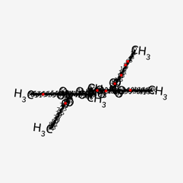 CCCCCCCCCCCCCCCCCOC(=O)CCN(CCCCC(=O)OCCN1CC(C)N(CCOC(=O)CCCCN(CCC(=O)OCCCCCCCCCCCCCC)CCC(=O)OCCCCCCCCCCCCCC)CC1C)CCC(=O)OCCCCCCCCCCCCCC